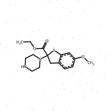 CCOC(=O)C1(N2CCNCC2)Cc2ccc(OC)cc2S1